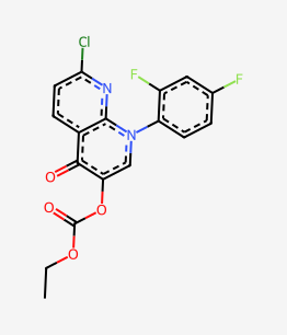 CCOC(=O)Oc1cn(-c2ccc(F)cc2F)c2nc(Cl)ccc2c1=O